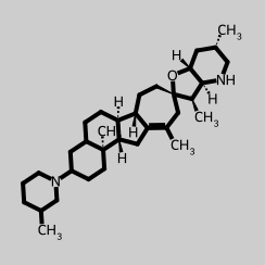 CC1=C2C[C@H]3[C@@H](CCC4CC(N5CCCC(C)C5)CC[C@@]43C)[C@@H]2CC[C@@]2(C1)O[C@@H]1C[C@H](C)CN[C@H]1[C@H]2C